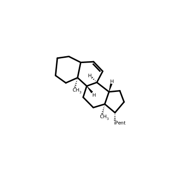 CCCC(C)[C@H]1CC[C@H]2[C@@H]3C=CC4CCCC[C@]4(C)[C@H]3CC[C@]12C